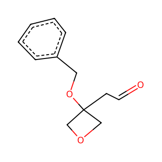 O=CCC1(OCc2ccccc2)COC1